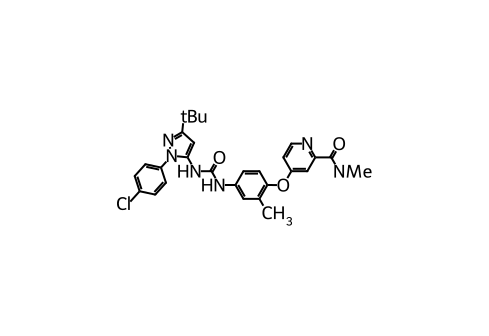 CNC(=O)c1cc(Oc2ccc(NC(=O)Nc3cc(C(C)(C)C)nn3-c3ccc(Cl)cc3)cc2C)ccn1